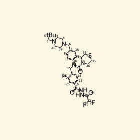 CC(C)(C)CN1CCN(Cc2ccc(N(Cc3ccc(C(=O)NNC(=O)C(F)F)cc3F)C(=O)N3CCSCC3)cc2)CC1